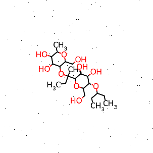 CCC(CC)OC1C(CO)OC(C(C)(CC)OC2C(CO)OC(C)C(O)C2O)C(O)C1O